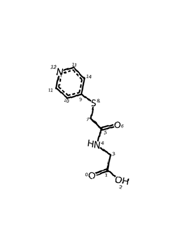 O=C(O)CNC(=O)CSc1ccncc1